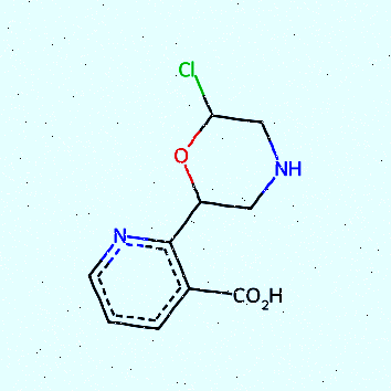 O=C(O)c1cccnc1C1CNCC(Cl)O1